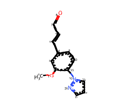 COc1cc(C=CC=O)ccc1-n1cccn1